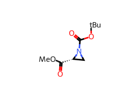 COC(=O)[C@H]1CN1C(=O)OC(C)(C)C